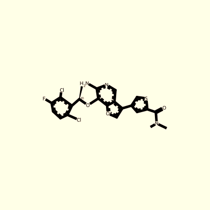 C[C@@H](Oc1c(N)ncc2c(-c3csc(C(=O)N(C)C)c3)coc12)c1c(Cl)ccc(F)c1Cl